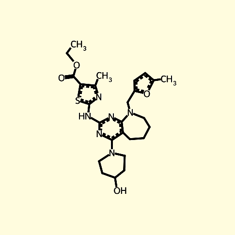 CCOC(=O)c1sc(Nc2nc(N3CCC(O)CC3)c3c(n2)N(Cc2ccc(C)o2)CCCC3)nc1C